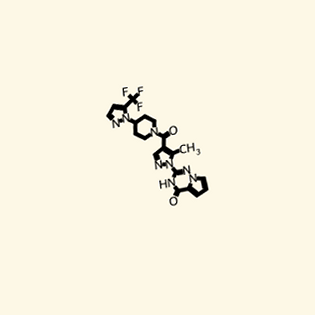 Cc1c(C(=O)N2CCC(n3nccc3C(F)(F)F)CC2)cnn1-c1nn2cccc2c(=O)[nH]1